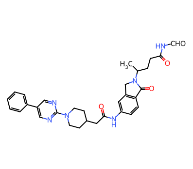 CC(CCC(=O)NC=O)N1Cc2cc(NC(=O)CC3CCN(c4ncc(-c5ccccc5)cn4)CC3)ccc2C1=O